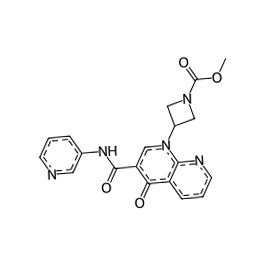 COC(=O)N1CC(n2cc(C(=O)Nc3cccnc3)c(=O)c3cccnc32)C1